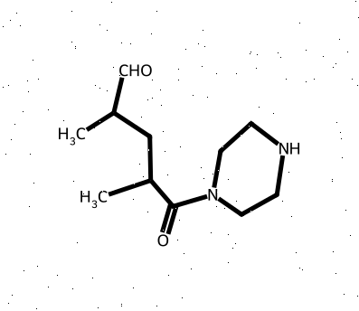 CC(C=O)CC(C)C(=O)N1CCNCC1